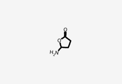 NC1CCC(=O)O1